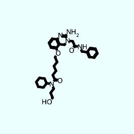 NC1=Nc2cccc(OCCCCCC(=O)N(CCCO)C3CCCCC3)c2CN1CC(=O)NCc1ccccc1